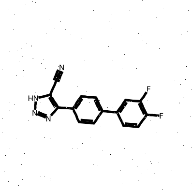 N#Cc1[nH]nnc1-c1ccc(-c2ccc(F)c(F)c2)cc1